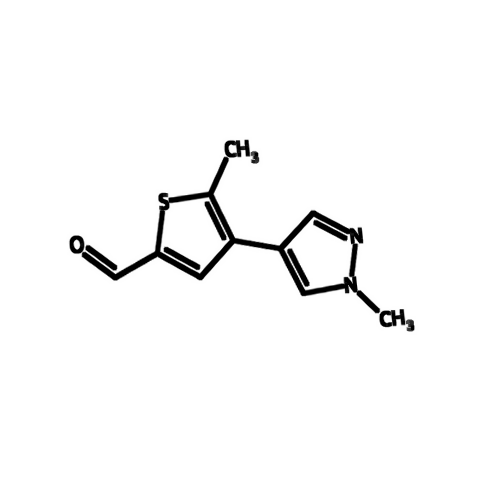 Cc1sc(C=O)cc1-c1cnn(C)c1